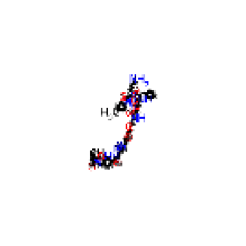 Cc1ccc(NC(=O)[C@H](CCCCN)NC(=O)[C@H](Cc2ccccc2)NC(=O)COCC(=O)NCCOCCOCCn2cc(CNC(=O)C3CCC(CN4C(=O)CC(C)C4=O)CC3)nn2)cc1